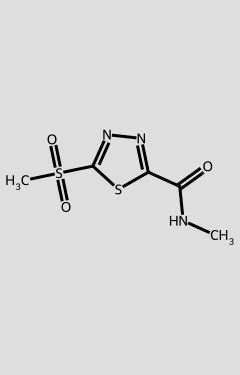 CNC(=O)c1nnc(S(C)(=O)=O)s1